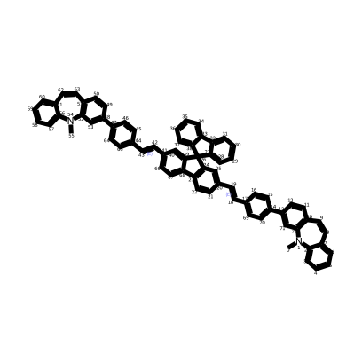 CN1c2ccccc2C=Cc2ccc(-c3ccc(/C=C/c4ccc5c(c4)C4(c6ccccc6-c6ccccc64)c4cc(/C=C/c6ccc(-c7ccc8c(c7)N(C)c7ccccc7C=C8)cc6)ccc4-5)cc3)cc21